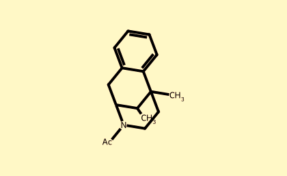 CC(=O)N1CCC2(C)c3ccccc3CC1C2C